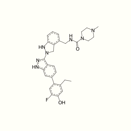 CCc1cc(O)c(F)cc1-c1ccc2c(N3Cc4c(CNC(=O)N5CCN(C)CC5)cccc4N3)n[nH]c2c1